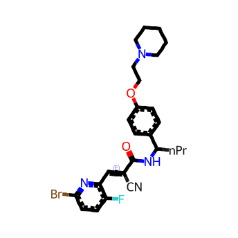 CCCC(NC(=O)/C(C#N)=C/c1nc(Br)ccc1F)c1ccc(OCCN2CCCCC2)cc1